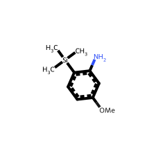 COc1ccc([Si](C)(C)C)c(N)c1